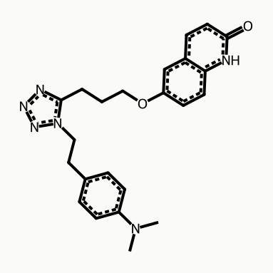 CN(C)c1ccc(CCn2nnnc2CCCOc2ccc3[nH]c(=O)ccc3c2)cc1